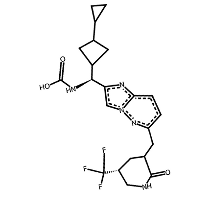 O=C(O)N[C@H](c1cn2nc(CC3C[C@@H](C(F)(F)F)CNC3=O)ccc2n1)C1CC(C2CC2)C1